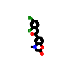 CN1CC(=O)Oc2ccc(C(=O)Cc3ccc(Br)cc3Cl)cc21